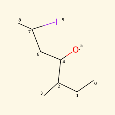 CCC(C)C([O])CC(C)I